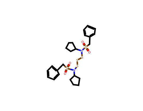 O=S(=O)(Cc1ccccc1)N(SSSN(C1CCCC1)S(=O)(=O)Cc1ccccc1)C1CCCC1